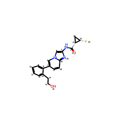 O=C(Nc1cn2cc(-c3ccccc3CCO)ccc2n1)[C@@H]1C[C@@H]1F